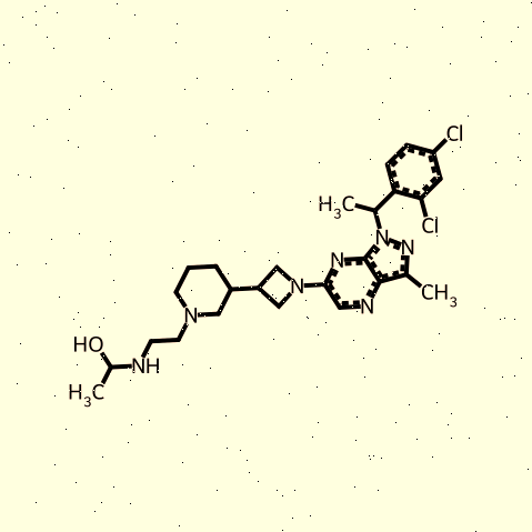 Cc1nn(C(C)c2ccc(Cl)cc2Cl)c2nc(N3CC(C4CCCN(CCNC(C)O)C4)C3)cnc12